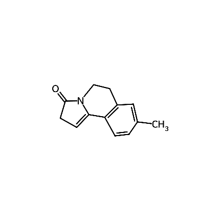 Cc1ccc2c(c1)CCN1C(=O)CC=C21